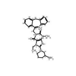 CCn1c(N2CCCC(N)C2)nc2c1c(=O)n(CC1=Nc3ccccc3Cc3ccccc31)c(=O)n2C